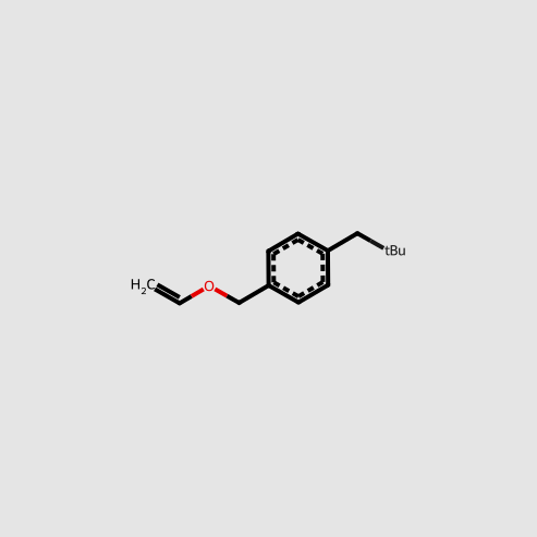 C=COCc1ccc(CC(C)(C)C)cc1